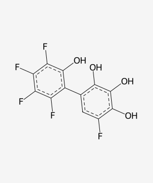 Oc1c(F)cc(-c2c(O)c(F)c(F)c(F)c2F)c(O)c1O